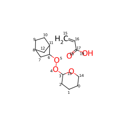 C1CCC(OOC2CC3CCC2C3)OC1.C=CC(=O)O